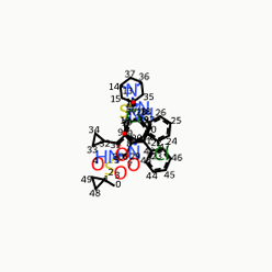 CC1(S(=O)(=O)NC(=O)c2cc3sc(N4C5CC(NCc6c(-c7c(Cl)cccc7Cl)noc6C6CC6)CC4C5)nc3cc2-c2ccccc2)CC1